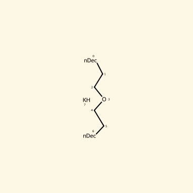 CCCCCCCCCCCCOCCCCCCCCCCCC.[KH]